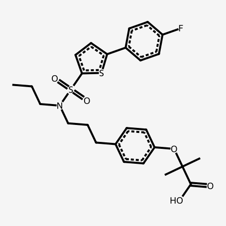 CCCN(CCCc1ccc(OC(C)(C)C(=O)O)cc1)S(=O)(=O)c1ccc(-c2ccc(F)cc2)s1